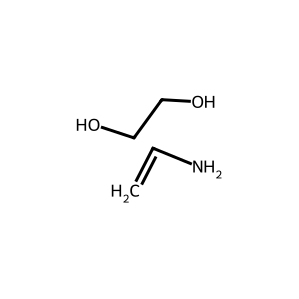 C=CN.OCCO